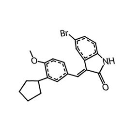 COc1ccc(/C=C2/C(=O)Nc3ccc(Br)cc32)cc1C1CCCC1